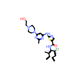 C=C/C=C(Cl)\C(NC(=O)c1cnc(Nc2cc(N3CCN(CCO)CC3)nc(C)n2)s1)=C(\C)C=C